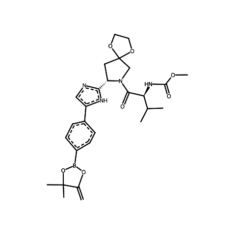 C=C1OB(c2ccc(-c3cnc([C@@H]4CC5(CN4C(=O)[C@@H](NC(=O)OC)C(C)C)OCCO5)[nH]3)cc2)OC1(C)C